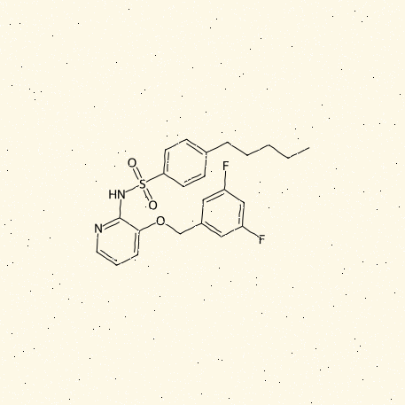 CCCCCc1ccc(S(=O)(=O)Nc2ncccc2OCc2cc(F)cc(F)c2)cc1